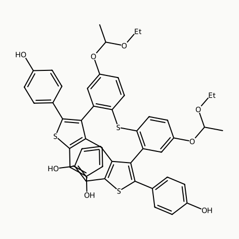 CCOC(C)Oc1ccc(Sc2ccc(OC(C)OCC)cc2-c2c(-c3ccc(O)cc3)sc3cc(O)ccc23)c(-c2c(-c3ccc(O)cc3)sc3cc(O)ccc23)c1